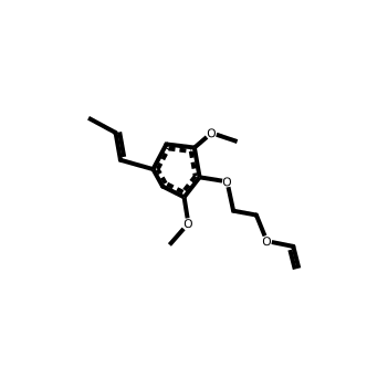 C=COCCOc1c(OC)cc(/C=C/C)cc1OC